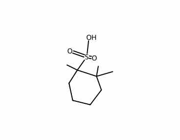 CC1(C)CCCCC1(C)S(=O)(=O)O